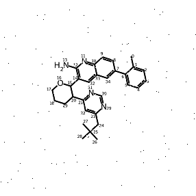 Cc1ccccc1-c1ccc2nc(N)c(C3OCCCC3c3cc(CC(C)(C)C)ncn3)cc2c1